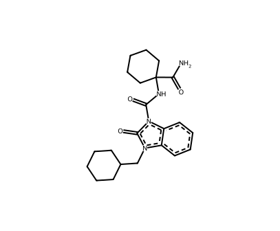 NC(=O)C1(NC(=O)n2c(=O)n(CC3CCCCC3)c3ccccc32)CCCCC1